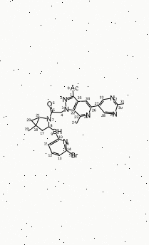 CC(=O)c1nn(CC(=O)N2C(Bc3cccc(Br)n3)CC3(C)CC23)c2c(C)nc(-c3cnc(C)nc3)cc12